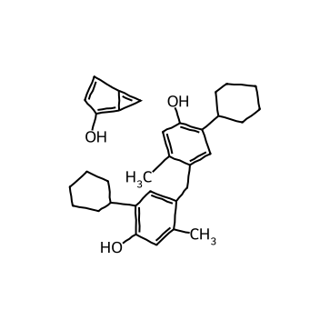 Cc1cc(O)c(C2CCCCC2)cc1Cc1cc(C2CCCCC2)c(O)cc1C.Oc1ccc2cc1-2